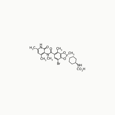 Cc1cc(C)c(N(C)C(=O)c2cc(Br)c3c(c2C)OC(C)([C@H]2CC[C@H](NC(=O)O)CC2)O3)c(=O)[nH]1